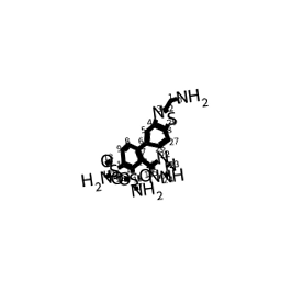 NCc1nc2cc(-c3ccc(S(N)(=O)=O)c(S(N)(=O)=O)c3-c3nn[nH]n3)ccc2s1